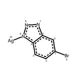 Brc1ccc2c(c1)nn[n]2[Ag]